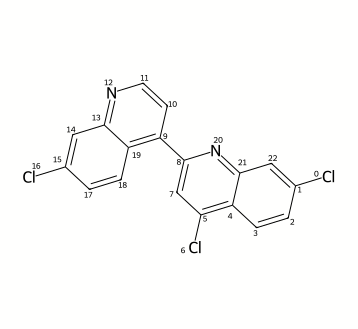 Clc1ccc2c(Cl)cc(-c3ccnc4cc(Cl)ccc34)nc2c1